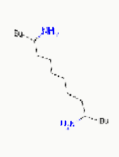 CCC(C)C(N)CCCCCCC(N)C(C)CC